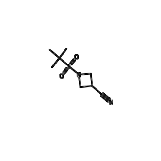 CC(C)(C)S(=O)(=O)N1CC(C#N)C1